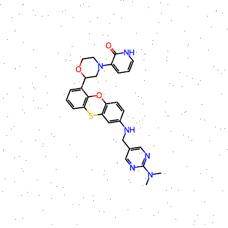 CN(C)c1ncc(CNc2ccc3c(c2)Sc2cccc(C4CN(c5ccc[nH]c5=O)CCO4)c2O3)cn1